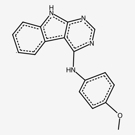 COc1ccc(Nc2ncnc3[nH]c4cc[c]cc4c23)cc1